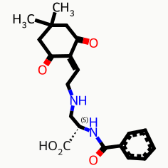 CC1(C)CC(=O)C(=CCNC[C@H](NC(=O)c2ccccc2)C(=O)O)C(=O)C1